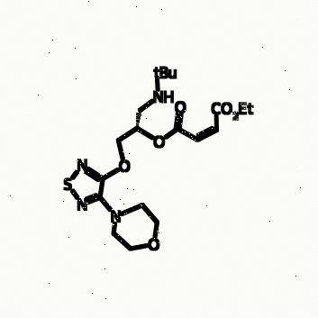 CCOC(=O)/C=C\C(=O)O[C@@H](CNC(C)(C)C)COc1nsnc1N1CCOCC1